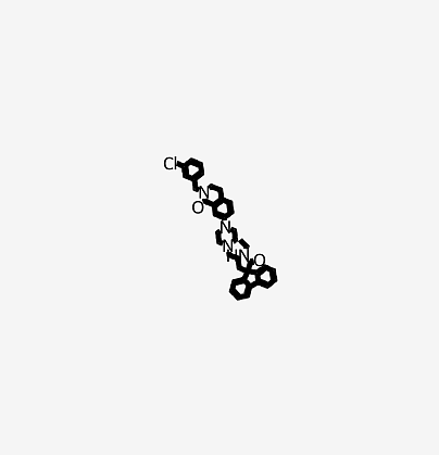 CCNC(=O)C1(CCCN2CCN(c3ccc4c(c3)C(=O)N(Cc3cccc(Cl)c3)CC4)CC2)c2ccccc2-c2ccccc21